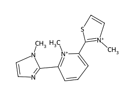 Cn1ccnc1-c1cccc(-c2scc[n+]2C)[n+]1C